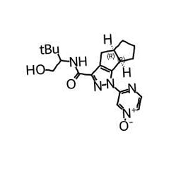 CC(C)(C)C(CO)NC(=O)c1nn(-c2c[n+]([O-])ccn2)c2c1C[C@H]1CCC[C@@H]21